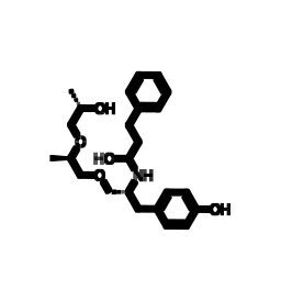 C[C@H](O)CO[C@H](C)COC[C@@H](Cc1ccc(O)cc1)NC(O)CCc1ccccc1